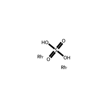 O=S(=O)(O)O.[Rh].[Rh]